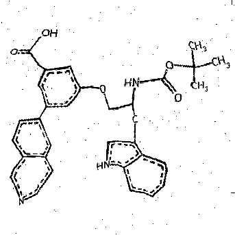 CC(C)(C)OC(=O)NC(COc1cc(C(=O)O)cc(-c2ccc3cnccc3c2)c1)Cc1c[nH]c2ccccc12